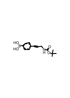 CC(C)(C)OC(=O)NCC#Cc1ccc(B(O)O)cc1